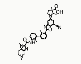 Cc1c(NC(=O)c2nc3c(n2C)CCN(C)C3)cccc1-c1cccc(-c2nc3cc(N4CCC(C)(C(=O)O)C4C)cc(C#N)c3o2)c1C